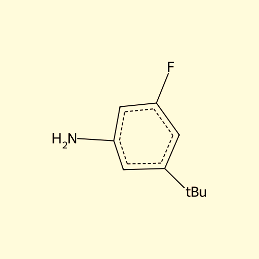 CC(C)(C)c1cc(N)cc(F)c1